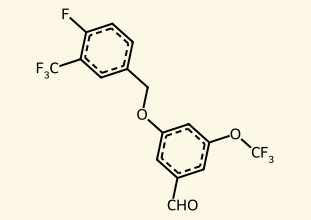 O=Cc1cc(OCc2ccc(F)c(C(F)(F)F)c2)cc(OC(F)(F)F)c1